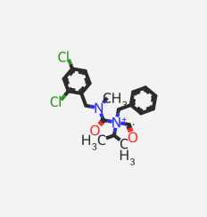 CC(C)[N+]([C]=O)(Cc1ccccc1)C(=O)N(C)Cc1ccc(Cl)cc1Cl